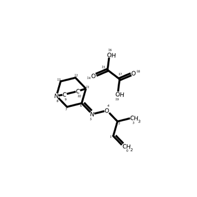 C=CC(C)ON=C1CN2CCC1CC2.O=C(O)C(=O)O